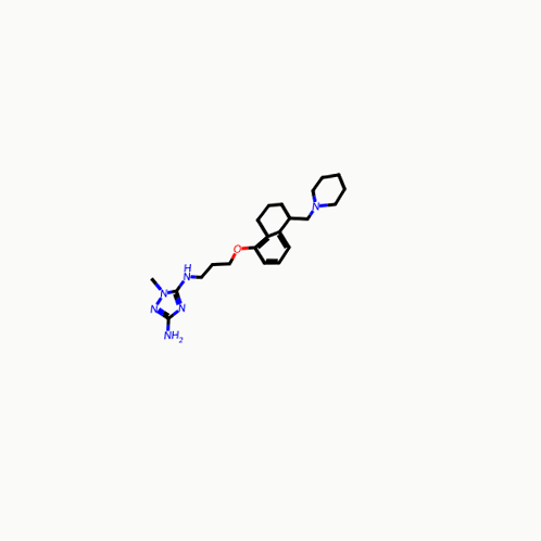 Cn1nc(N)nc1NCCCOc1cccc2c1CCCC2CN1CCCCC1